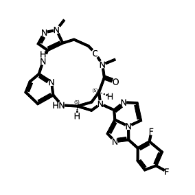 CN1CCCc2c(cnn2C)Nc2cccc(n2)N[C@H]2C[C@@H](C1=O)N(c1nccn3c(-c4ccc(F)cc4F)ncc13)C2